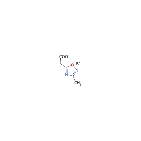 Cc1noc(CC(=O)[O-])n1.[K+]